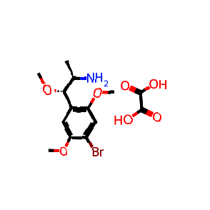 COc1cc([C@H](OC)[C@@H](C)N)c(OC)cc1Br.O=C(O)C(=O)O